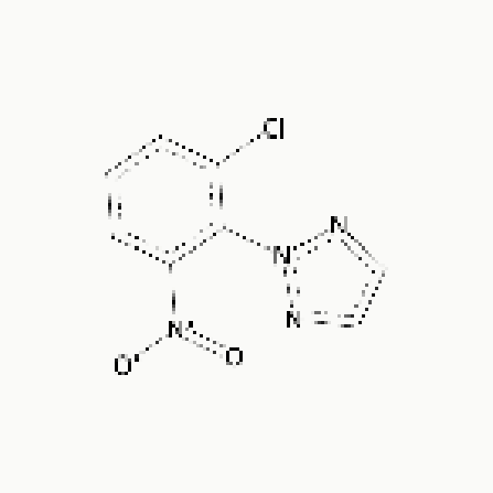 O=[N+]([O-])c1cccc(Cl)c1-n1nccn1